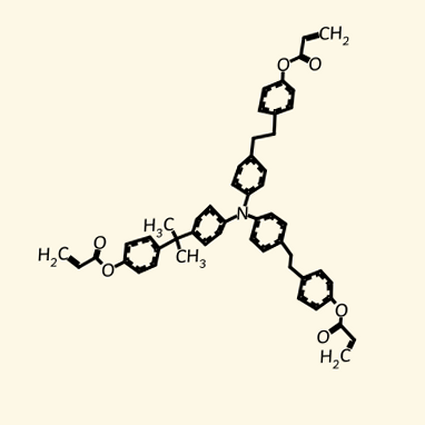 C=CC(=O)Oc1ccc(CCc2ccc(N(c3ccc(CCc4ccc(OC(=O)C=C)cc4)cc3)c3ccc(C(C)(C)c4ccc(OC(=O)C=C)cc4)cc3)cc2)cc1